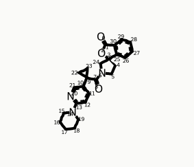 O=C1O[C@]2(CCN(C(=O)C3(c4ccc(N5CCCCC5)nc4)CC3)C2)c2ccccc21